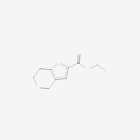 CCOC(=O)c1cc2c(s1)CCOC2